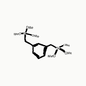 CO[Si](Cc1cccc(C[Si](OC)(OC)OC)c1)(OC)OC